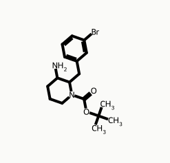 CC(C)(C)OC(=O)N1CCCC(N)C1Cc1cccc(Br)c1